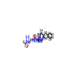 CC(=O)NCCNC(=O)c1cnn2c(C)c(Cc3ccccc3)c(C)nc12